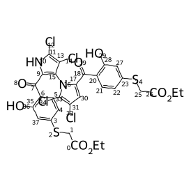 CCOC(=O)CSc1ccc(C(=O)c2[nH]c(Cl)c(Cl)c2-n2c(C(=O)c3ccc(SCC(=O)OCC)cc3O)cc(Cl)c2Cl)c(O)c1